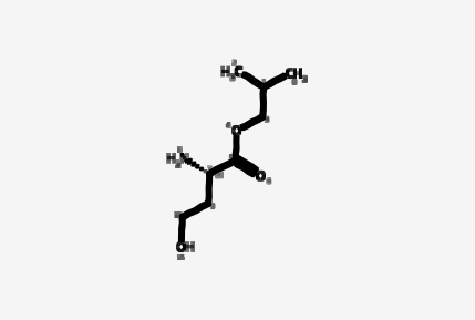 CC(C)COC(=O)[C@@H](N)CCO